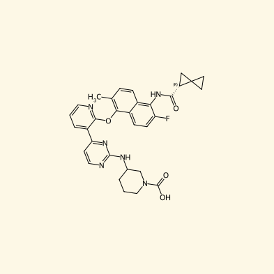 Cc1ccc2c(NC(=O)[C@@H]3CC34CC4)c(F)ccc2c1Oc1ncccc1-c1ccnc(NC2CCCN(C(=O)O)C2)n1